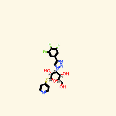 OC[C@H]1O[C@H](Sc2ccncc2)[C@H](O)[C@@H](n2cc(-c3cc(F)c(F)c(F)c3)nn2)[C@H]1O